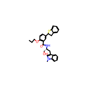 CCCOc1ccc(C2Cc3ccccc3S2)cc1C(=O)N[C@@H](CO)Cc1cn(C)c2ccccc12